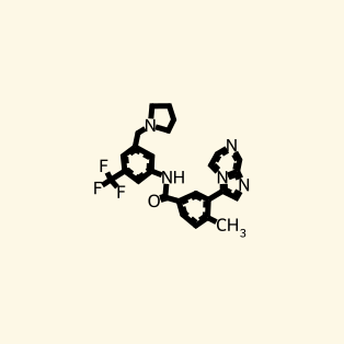 Cc1ccc(C(=O)Nc2cc(CN3CCCC3)cc(C(F)(F)F)c2)cc1-c1cnc2cnccn12